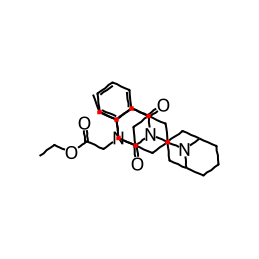 CCOC(=O)Cn1c(=O)n(C2CC3CCCC(C2)N3C2CC3CC(CC)CC(C3)C2)c(=O)c2ccccc21